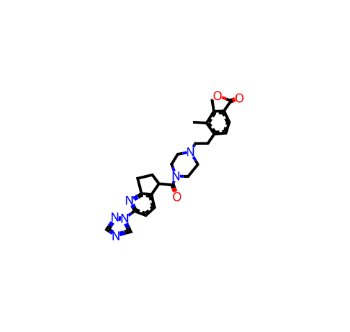 Cc1c(CCN2CCN(C(=O)C3CCc4nc(-n5cncn5)ccc43)CC2)ccc2c1COC2=O